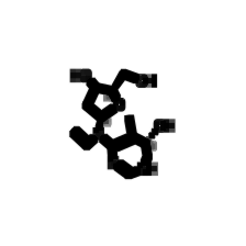 C=CN(C1=C(C)[C@H](O)CNC=N1)[C@H]1CC(O)[C@@H](CO)O1